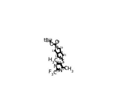 Cc1nc(C(F)(F)F)nc(C)c1SN1CC2CN(C(=O)OC(C)(C)C)CC2C1